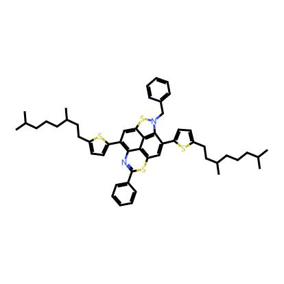 CC(C)CCCC(C)CCc1ccc(-c2cc3c4c(c(-c5ccc(CCC(C)CCCC(C)C)s5)cc5c4c2N=C(c2ccccc2)S5)N(Cc2ccccc2)S3)s1